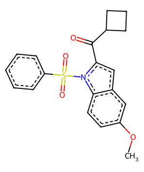 COc1ccc2c(c1)cc(C(=O)C1CCC1)n2S(=O)(=O)c1ccccc1